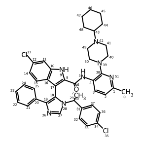 Cc1ccc(NC(=O)c2[nH]c3cc(Cl)ccc3c2-c2c(-c3ccccc3)ncn2[C@@H](C)c2ccc(Cl)cc2)c(N2CCN(C3CCCCC3)CC2)n1